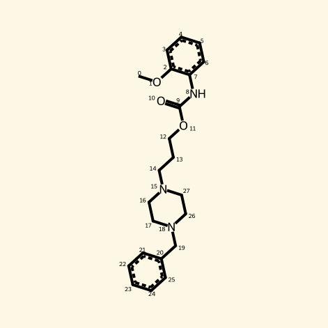 COc1ccccc1NC(=O)OCCCN1CCN(Cc2ccccc2)CC1